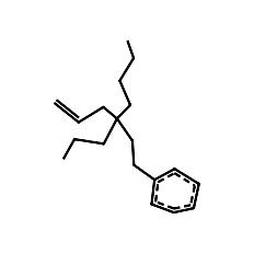 C=CCC(CCC)(CCCC)CCc1ccccc1